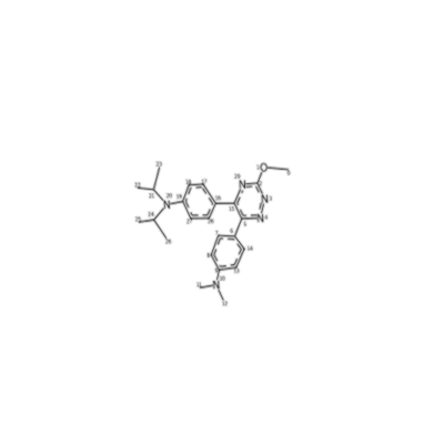 COc1nnc(-c2ccc(N(C)C)cc2)c(-c2ccc(N(C(C)C)C(C)C)cc2)n1